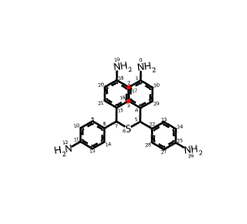 Nc1ccc(C(SC(c2ccc(N)cc2)c2ccc(N)cc2)c2ccc(N)cc2)cc1